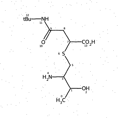 CC(O)C(N)CSC(CC(=O)NC(C)(C)C)C(=O)O